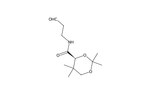 CC1(C)OCC(C)(C)[C@@H](C(=O)NCCC=O)O1